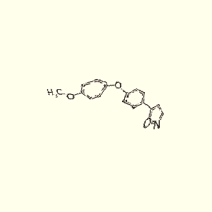 COc1ccc(Oc2ccc(-c3ccno3)cc2)cc1